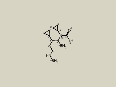 BNCCC(C1CC1)C(B)N(C(=O)S)C1CC1